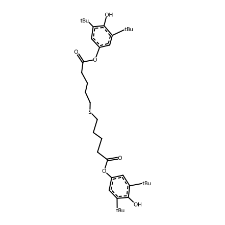 CC(C)(C)c1cc(OC(=O)CCCCSCCCCC(=O)Oc2cc(C(C)(C)C)c(O)c(C(C)(C)C)c2)cc(C(C)(C)C)c1O